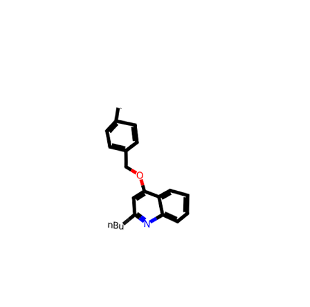 [CH2]c1ccc(COc2cc(CCCC)nc3ccccc23)cc1